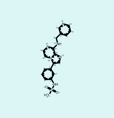 CS(=O)(=O)Nc1cccc(-c2cnc3c(NCc4cccnc4)nccn23)c1